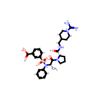 C[C@@H](C(=O)N1CCC[C@H]1C(=O)NCC1CCN(C(=N)N)CC1)N(c1ccccc1)S(=O)(=O)c1cccc(C(=O)O)c1